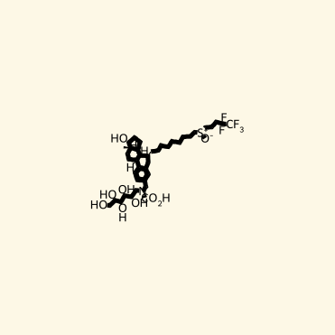 C[C@]12CC[C@@H]3c4ccc(CN(C[C@H](O)[C@@H](O)[C@H](O)[C@H](O)CO)C(=O)O)cc4C[C@@H](CCCCCCCCC[S+]([O-])CCCC(F)(F)C(F)(F)F)[C@H]3[C@@H]1CC[C@@H]2O